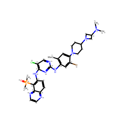 COc1cc(N2CCC(N3CC(N(C)C)C3)CC2)c(Br)cc1Nc1ncc(Cl)c(Nc2ccc3nccnc3c2P(C)(C)=O)n1